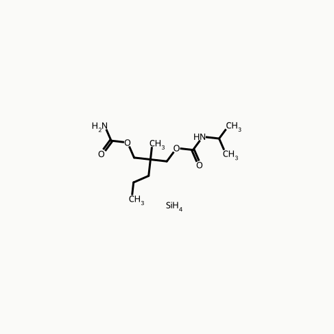 CCCC(C)(COC(N)=O)COC(=O)NC(C)C.[SiH4]